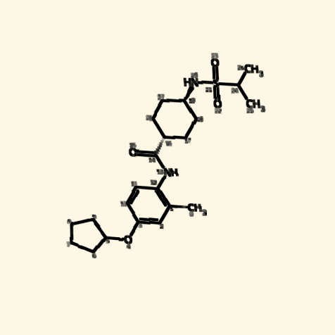 Cc1cc(OC2CCCC2)ccc1NC(=O)[C@H]1CC[C@H](NS(=O)(=O)C(C)C)CC1